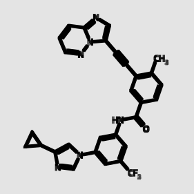 Cc1ccc(C(=O)Nc2cc(-n3cnc(C4CC4)c3)cc(C(F)(F)F)c2)cc1C#Cc1cnc2cccnn12